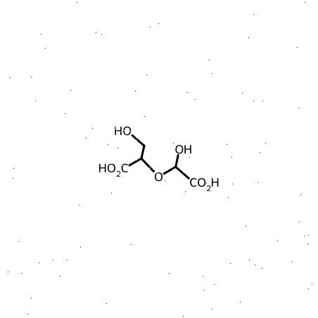 O=C(O)C(O)OC(CO)C(=O)O